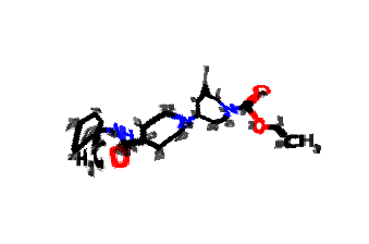 CCOC(=O)N1CCCC(N2CCC(C(=O)NC3(C)CCC3)CC2)CC1